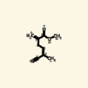 C=C(CC=C(C)C#N)C(=O)OC